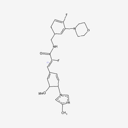 COC1C=C(/C=C(\F)C(=O)NCC2C=C(N3CCOCC3)C(F)=CC2)C=CC1n1cnc(C)c1